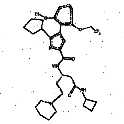 CCOc1cccc(OCC(F)(F)F)c1-c1cc(C(=O)N[C@@H](CCN2CCCCC2)CC(=O)NC2CCC2)nn1C1CCCC1